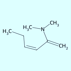 C=C(/C=C\CC)N(C)C